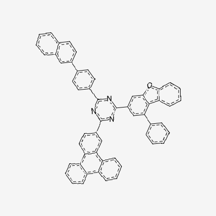 c1ccc(-c2cc(-c3nc(-c4ccc(-c5ccc6ccccc6c5)cc4)nc(-c4ccc5c6ccccc6c6ccccc6c5c4)n3)cc3oc4ccccc4c23)cc1